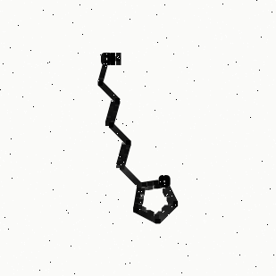 OCC=CC=Cc1ccco1